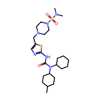 CC1CCC(N(C(=O)Nc2ncc(CN3CCN(S(=O)(=O)N(C)C)CC3)s2)C2CCCCC2)CC1